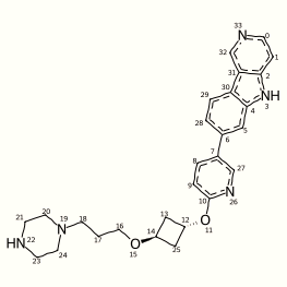 c1cc2[nH]c3cc(-c4ccc(O[C@H]5C[C@H](OCCCN6CCNCC6)C5)nc4)ccc3c2cn1